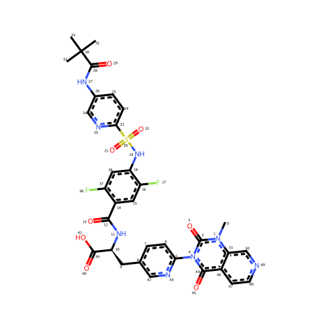 Cn1c(=O)n(-c2ccc(C[C@H](NC(=O)c3cc(F)c(NS(=O)(=O)c4ccc(NC(=O)C(C)(C)C)cn4)cc3F)C(=O)O)cn2)c(=O)c2ccncc21